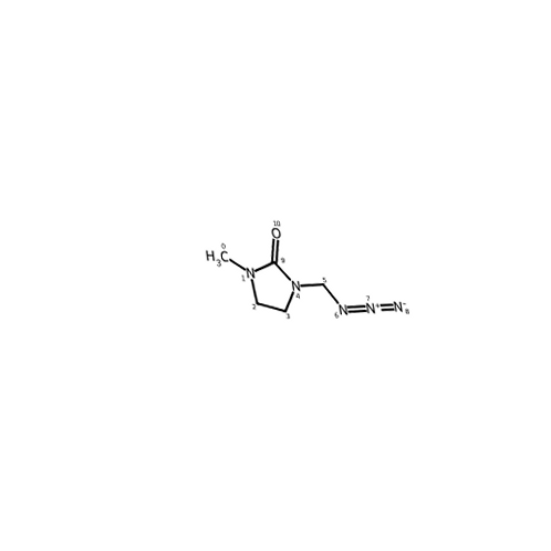 CN1CCN(CN=[N+]=[N-])C1=O